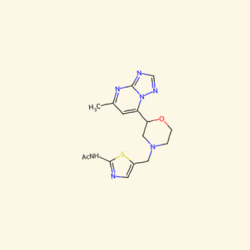 CC(=O)Nc1ncc(CN2CCOC(c3cc(C)nc4ncnn34)C2)s1